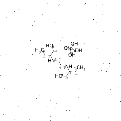 CCC(CO)NCCNC(CC)CO.O=P(O)(O)O